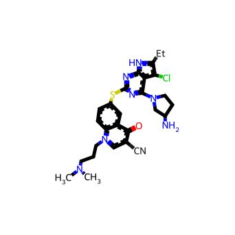 CCc1[nH]c2nc(Sc3ccc4c(c3)c(=O)c(C#N)cn4CCCN(C)C)nc(N3CCC(N)C3)c2c1Cl